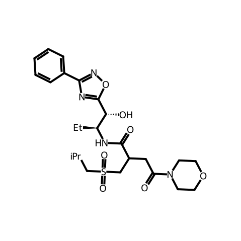 CC[C@H](NC(=O)C(CC(=O)N1CCOCC1)CS(=O)(=O)CC(C)C)[C@@H](O)c1nc(-c2ccccc2)no1